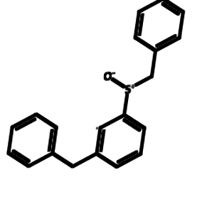 [O-][S+](Cc1ccccc1)c1[c]c(Cc2ccccc2)ccc1